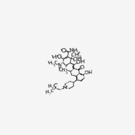 CC(C)CN1CCC(c2ccc(O)c3c2CC2CC4C(C(O)=C2C3=O)C(C)(O)C(C(N)=O)=C(O)[C@H]4N(C)C)CC1